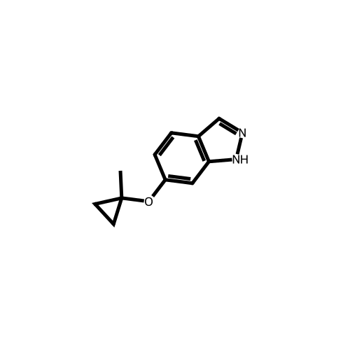 CC1(Oc2ccc3cn[nH]c3c2)CC1